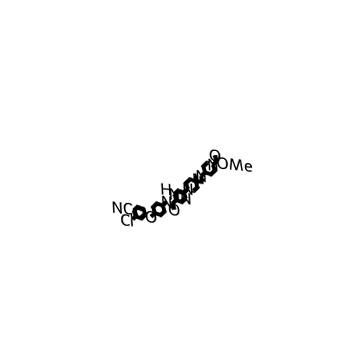 COC(=O)N1CCC(N2CC3(CCN(c4cnc(C(=O)NC5CCC(Oc6ccc(C#N)c(Cl)c6)CC5)cn4)CC3)C2)CC1